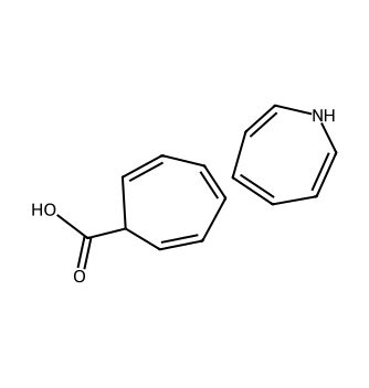 C1=CC=CNC=C1.O=C(O)C1C=CC=CC=C1